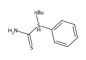 CCCC[SH](C(N)=S)c1ccccc1